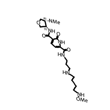 CN[C@H]1COC[C@H]1NC(=O)c1ccc(C(=O)NCCCNCCCCNOC)[nH]c1=O